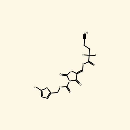 C#CCCC(F)(F)C(=O)OC=C1SC(=O)N(C(=O)OCc2ccc(Cl)s2)C1=O